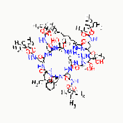 CCCCCCCC[C@H](N)C(=O)N[C@@H](CCNC(=O)OC(C)(C)C)C(=O)N[C@H](C(=O)N[C@H](CO)C(=O)N[C@H]1CCNC(=O)[C@H]([C@@H](C)O)NC(=O)[C@H](CCNC(=O)OC(C)(C)C)NC(=O)[C@H](CCNC(=O)OC(C)(C)C)NC(=O)[C@H](CC(C)C)NC(=O)[C@@H](Cc2ccccc2)NC(=O)[C@H](CCNC(=O)OC(C)(C)C)NC1=O)[C@@H](C)O